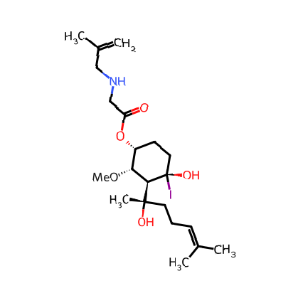 C=C(C)CNCC(=O)O[C@@H]1CC[C@](O)(I)[C@@H]([C@@](C)(O)CCC=C(C)C)[C@@H]1OC